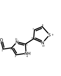 O=Cc1c[nH]c(-c2ccsn2)n1